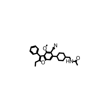 CCc1oc2cc(C3CCC(CNC(C)=O)CC3)c(C#N)c(OC)c2c1-c1ccccc1